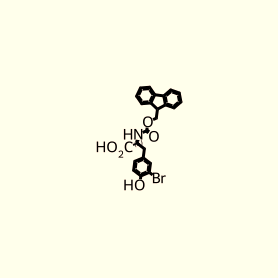 O=C(N[C@@H](Cc1ccc(O)c(Br)c1)C(=O)O)OCC1c2ccccc2-c2ccccc21